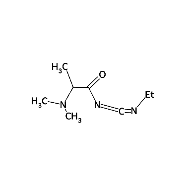 CCN=C=NC(=O)C(C)N(C)C